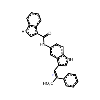 O=C(O)/C(=C/c1c[nH]c2ncc(NC(=O)c3c[nH]c4ccccc34)cc12)c1ccccc1